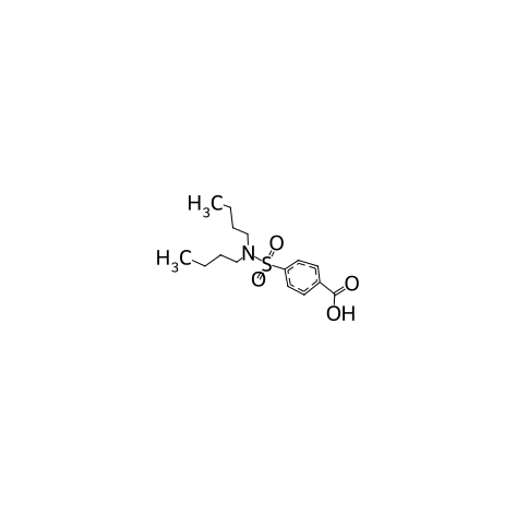 CCCCN(CCCC)S(=O)(=O)c1ccc(C(=O)O)cc1